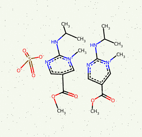 COC(=O)c1cnc(NC(C)C)[n+](C)c1.COC(=O)c1cnc(NC(C)C)[n+](C)c1.O=S(=O)([O-])[O-]